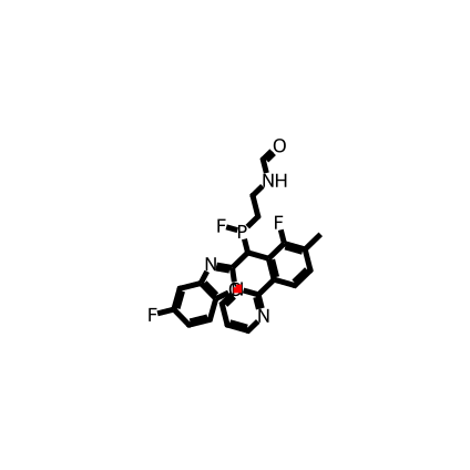 Cc1ccc(-c2ncccn2)c(C(c2nc3cc(F)ccc3o2)P(F)CCNC=O)c1F